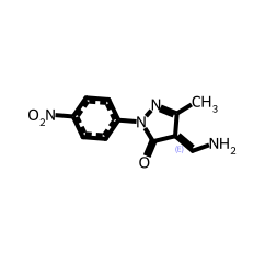 CC1=NN(c2ccc([N+](=O)[O-])cc2)C(=O)/C1=C/N